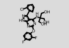 OCC(CO)(CO)Nc1nc(Oc2ccc(F)cc2F)nc2[nH]nc(-c3ccccc3Cl)c12